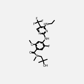 CCNc1nc(Nc2cc(OC)c(C(=O)N(C)CC(C)(C)O)cc2F)ncc1C(F)(F)F